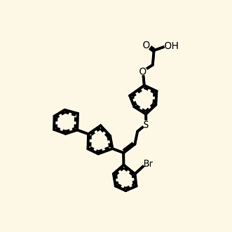 O=C(O)COc1ccc(SC/C=C(\c2ccc(-c3ccccc3)cc2)c2ccccc2Br)cc1